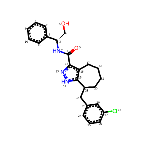 O=C(N[C@@H](CO)c1ccccc1)c1n[nH]c2c1CCCCC2Cc1cccc(Cl)c1